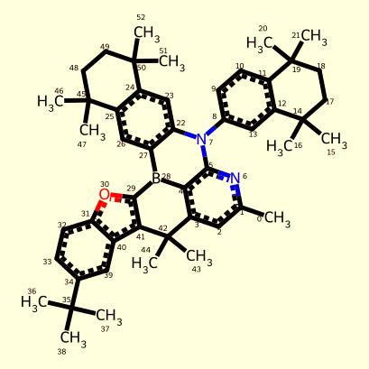 Cc1cc2c3c(n1)N(c1ccc4c(c1)C(C)(C)CCC4(C)C)c1cc4c(cc1B3c1oc3ccc(C(C)(C)C)cc3c1C2(C)C)C(C)(C)CCC4(C)C